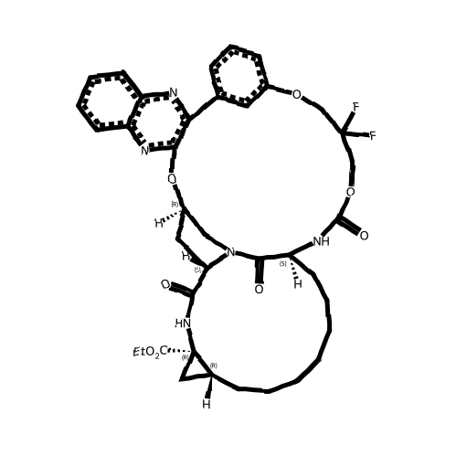 CCOC(=O)[C@@]12C[C@H]1CCCCCCC[C@@H]1NC(=O)OCC(F)(F)COc3cccc(c3)-c3nc4ccccc4nc3O[C@@H]3C[C@@H](C(=O)N2)N(C3)C1=O